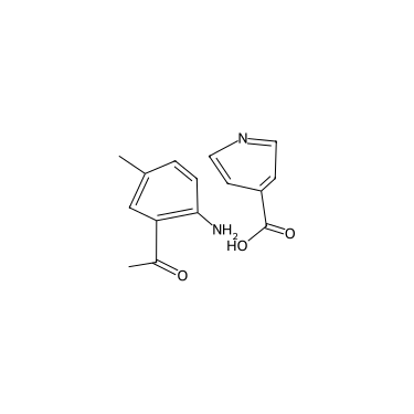 CC(=O)c1cc(C)ccc1N.O=C(O)c1ccncc1